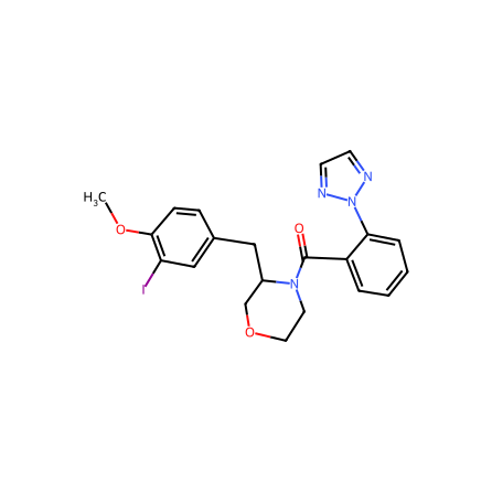 COc1ccc(CC2COCCN2C(=O)c2ccccc2-n2nccn2)cc1I